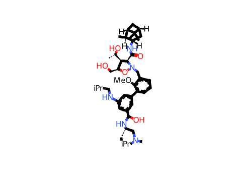 COc1c(CN2O[C@@H](CO)[C@@H]([C@H](C)O)[C@H]2C(=O)N[C@H]2C[C@H]3C[C@@H]([C@@H]2C)C3(C)C)cccc1-c1cc(NCC(C)C)cc(C(O)N[C@@H](CC(C)C)CN(C)C)c1